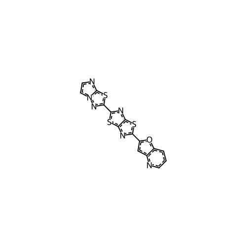 c1cnc2cc(-c3nc4sc(-c5nn6ccnc6s5)nc4s3)oc2c1